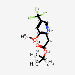 COc1cc(C(F)(F)F)cnc1CC(=O)OC(C)(C)C